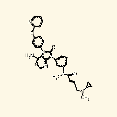 CN(C(=O)C=CCN(C)C1CC1)c1cccc(-n2c(=O)n(-c3ccc(Oc4ccccn4)cc3)c3c(N)ncnc32)c1